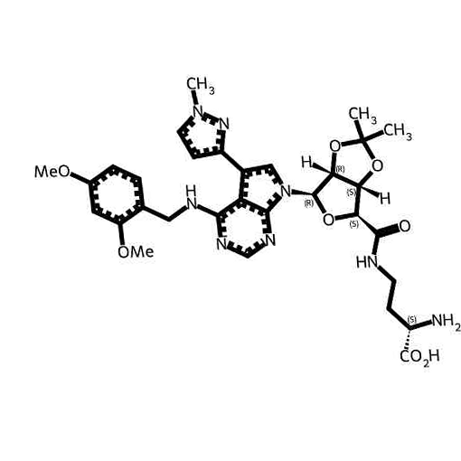 COc1ccc(CNc2ncnc3c2c(-c2ccn(C)n2)cn3[C@@H]2O[C@H](C(=O)NCC[C@H](N)C(=O)O)[C@H]3OC(C)(C)O[C@H]32)c(OC)c1